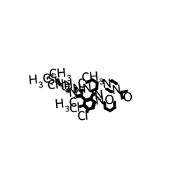 Cc1c(-c2c(Cl)c(Cl)cc3c2cnn3C2CCCCO2)c(N2CC[C@@H](CN3CCN(C4COC4)CC3)CC2(C)C)nn1COCC[Si](C)(C)C